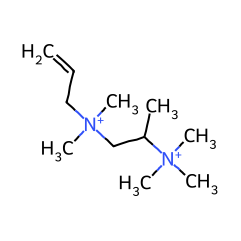 C=CC[N+](C)(C)CC(C)[N+](C)(C)C